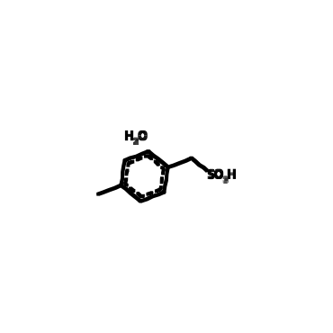 Cc1ccc(CS(=O)(=O)O)cc1.O